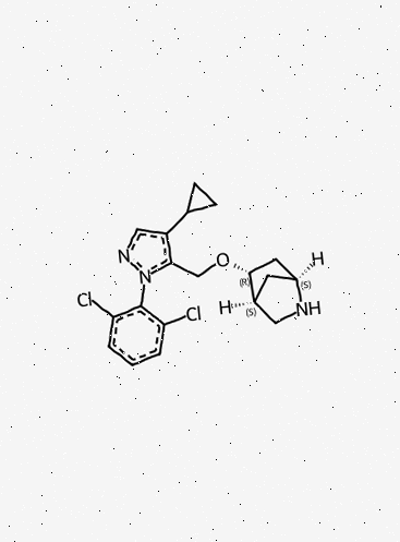 Clc1cccc(Cl)c1-n1ncc(C2CC2)c1CO[C@@H]1C[C@@H]2C[C@H]1CN2